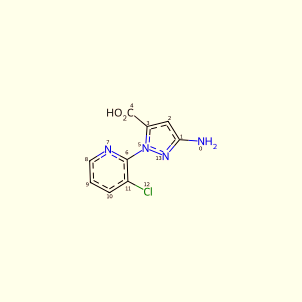 Nc1cc(C(=O)O)n(-c2ncccc2Cl)n1